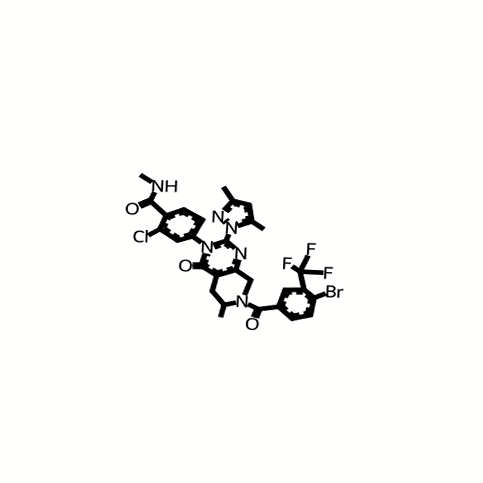 CNC(=O)c1ccc(-n2c(-n3nc(C)cc3C)nc3c(c2=O)CC(C)N(C(=O)c2ccc(Br)c(C(F)(F)F)c2)C3)cc1Cl